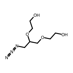 [N-]=[N+]=NCC(COCCO)OCCO